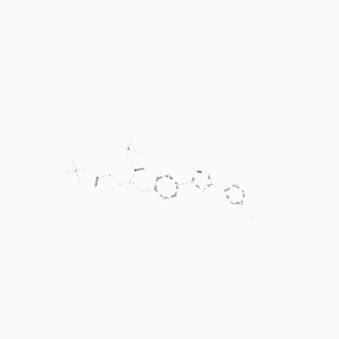 CC(C)(C)OC(=O)CCN(Cc1ccc(-c2noc(-c3ccc(Br)o3)n2)cc1)C(=O)OC(C)(C)C